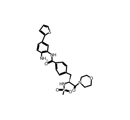 CS(=O)(=O)N[C@@H](Cc1ccc(C(=O)Nc2cc(-c3cccs3)ccc2N)cc1)C(=O)N1CCOCC1